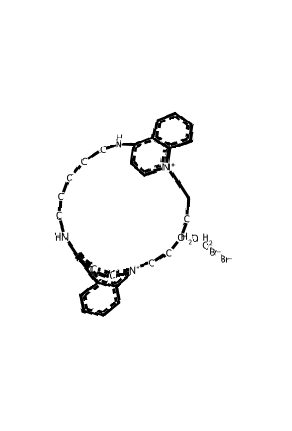 O.O.[Br-].[Br-].c1ccc2c(c1)c1cc[n+]2CCOCC[n+]2ccc(c3ccccc32)NCCCCCN1